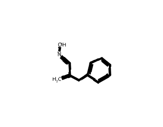 C=C(/C=N/O)Cc1ccccc1